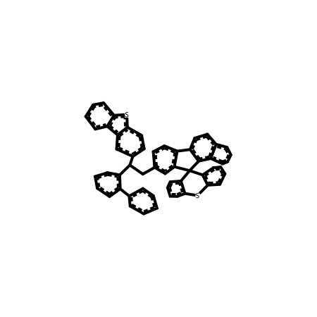 c1ccc(-c2ccccc2C(Cc2ccc3c(c2)C2(c4ccccc4Sc4ccccc42)c2c-3ccc3ccccc23)c2ccc3sc4ccccc4c3c2)cc1